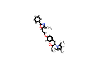 COC(=O)C(Cc1ccc(OCCc2oc(-c3ccccc3)nc2C)cc1)n1c(C)cc(C(C)=O)c1C